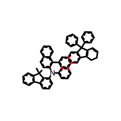 CC1(C)c2ccccc2-c2cccc(N(c3cccc(-c4ccc5c(c4)C4=C(C=CCC4)C5(c4ccccc4)c4ccccc4)c3)c3ccc4ccccc4c3-c3ccccc3)c21